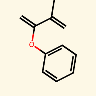 C=C(C)C(=C)Oc1ccccc1